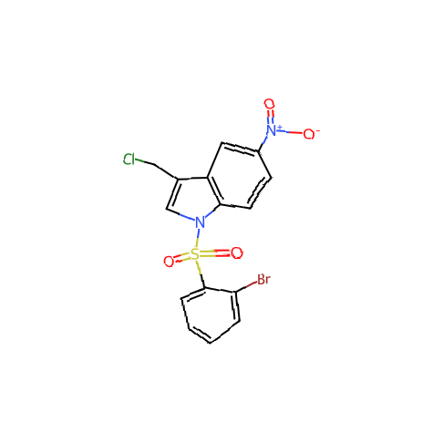 O=[N+]([O-])c1ccc2c(c1)c(CCl)cn2S(=O)(=O)c1ccccc1Br